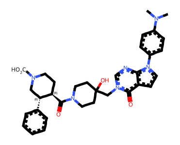 CN(C)c1ccc(-n2ccc3c(=O)n(CC4(O)CCN(C(=O)[C@@H]5CCN(C(=O)O)C[C@H]5c5ccccc5)CC4)cnc32)cc1